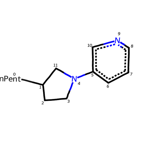 CCCCCC1CCN(c2cccnc2)C1